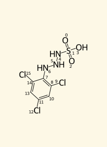 O=S(=O)(O)NNNc1c(Cl)cc(Cl)cc1Cl